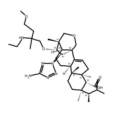 CCNC(C)(CCOC)CO[C@H]1[C@H](n2nnc(N)n2)C[C@@]23COC[C@]1(C)[C@@H]2CC[C@H]1C3=CC[C@@]2(C)[C@H](C(=O)O)[C@@](C)([C@H](C)C(C)C)CC[C@]12C